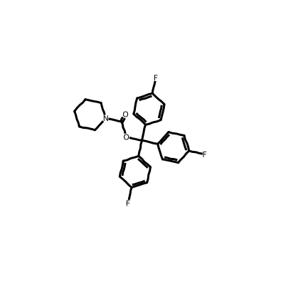 O=C(OC(c1ccc(F)cc1)(c1ccc(F)cc1)c1ccc(F)cc1)N1CCCCC1